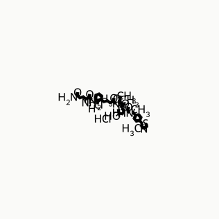 Cc1ncsc1-c1ccc([C@H](C)NC(=O)[C@@H]2C[C@@H](O)CN2C(=O)[C@@H](NC(=O)CCCc2cccc(NC(=O)[C@@H](N)CCC(N)=O)c2Cl)C(C)(C)C)cc1.Cl